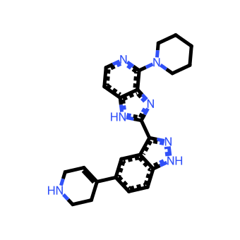 C1=C(c2ccc3[nH]nc(-c4nc5c(N6CCCCC6)nccc5[nH]4)c3c2)CCNC1